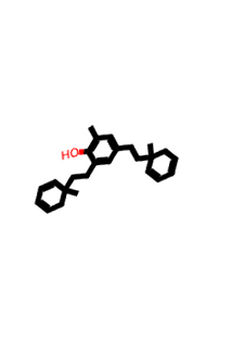 Cc1cc(CCC2(C)C=CC=CC2)cc(CCC2(C)C=CC=CC2)c1O